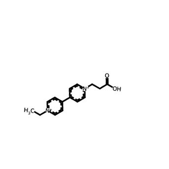 CC[n+]1ccc(-c2cc[n+](CCC(=O)O)cc2)cc1